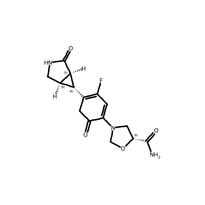 NC(=O)[C@H]1CN(C2=CC(F)=C([C@@H]3[C@H]4CNC(=O)[C@H]43)CC2=O)CO1